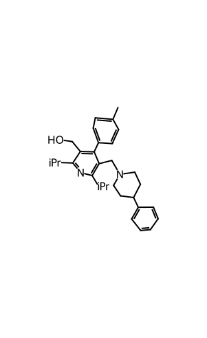 Cc1ccc(-c2c(CO)c(C(C)C)nc(C(C)C)c2CN2CCC(c3ccccc3)CC2)cc1